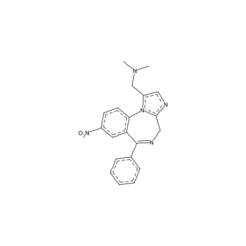 CN(C)Cc1cnc2n1-c1ccc([N+](=O)[O-])cc1C(c1ccccc1)=NC2